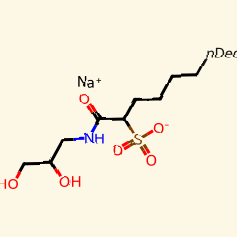 CCCCCCCCCCCCCCC(C(=O)NCC(O)CO)S(=O)(=O)[O-].[Na+]